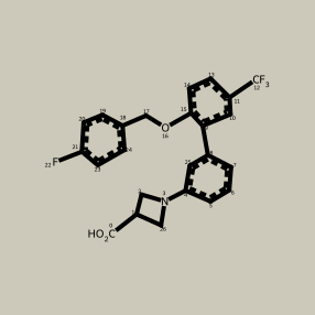 O=C(O)C1CN(c2cccc(-c3cc(C(F)(F)F)ccc3OCc3ccc(F)cc3)c2)C1